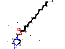 CCCCCCCCCCCCCCCC(=O)OCN1CCNCC1